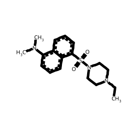 CCN1CCN(S(=O)(=O)c2cccc3c(N(C)C)cccc23)CC1